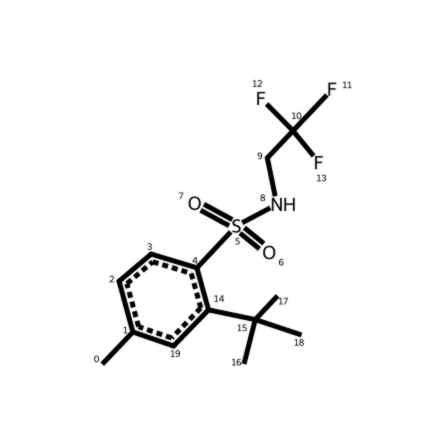 Cc1ccc(S(=O)(=O)NCC(F)(F)F)c(C(C)(C)C)c1